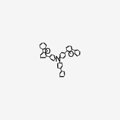 C1=CCc2c(oc3c(-c4ccc(N(c5ccc(-c6ccccc6)cc5)c5ccc(-c6cccc7c6oc6ccccc67)cc5)cc4)cccc23)C=C1